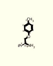 Cc1ccc(OC[C@@H](N)C(C)C)cc1